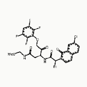 CCC(C(=O)N[C@@H](CC(=O)NCOC)C(=O)COc1c(F)c(F)cc(F)c1F)n1ccc2ccc(Cl)cc2c1=O